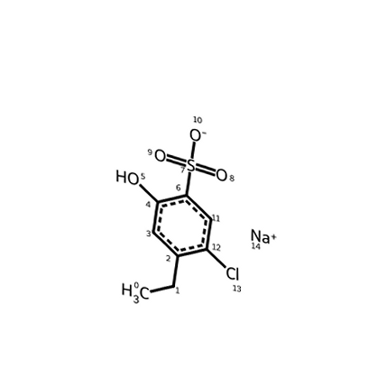 CCc1cc(O)c(S(=O)(=O)[O-])cc1Cl.[Na+]